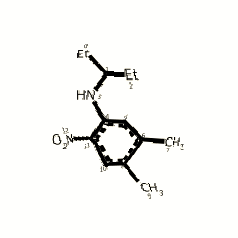 CCC(CC)Nc1cc(C)c(C)cc1[N+](=O)[O-]